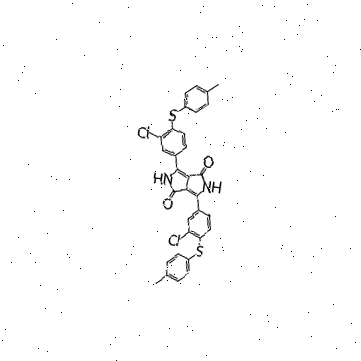 Cc1ccc(Sc2ccc(C3=C4C(=O)NC(c5ccc(Sc6ccc(C)cc6)c(Cl)c5)=C4C(=O)N3)cc2Cl)cc1